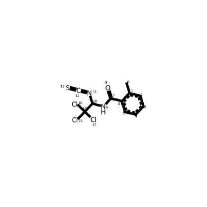 Cc1ccccc1C(=O)NC(N=C=S)C(Cl)(Cl)Cl